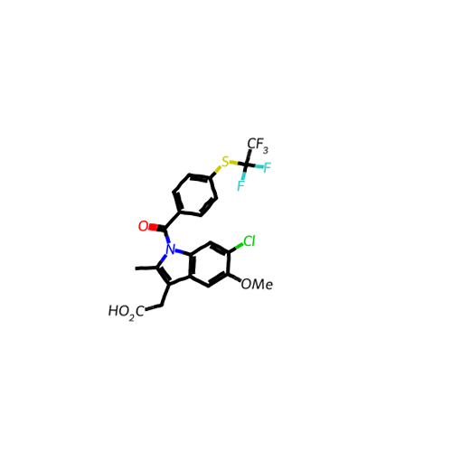 COc1cc2c(CC(=O)O)c(C)n(C(=O)c3ccc(SC(F)(F)C(F)(F)F)cc3)c2cc1Cl